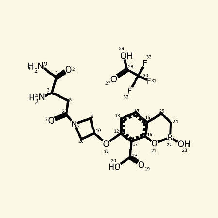 NC(=O)C(N)CC(=O)N1CC(Oc2ccc3c(c2C(=O)O)OB(O)CC3)C1.O=C(O)C(F)(F)F